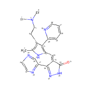 CCN(CC)CCc1c(C)[nH]c(/C=C2/C(=O)NN=C2c2cnccn2)c1-c1ccccn1